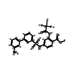 COC(=O)c1ccc(NS(=O)(=O)c2cccc(-c3cccc(N)c3)c2)cc1OC(=O)C(F)(F)F